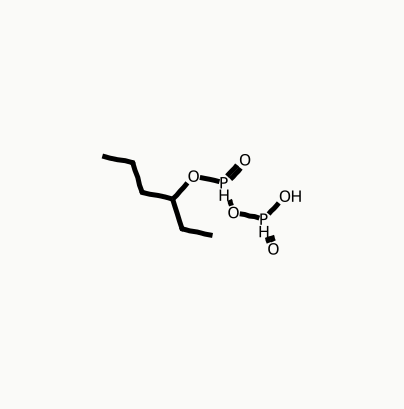 CCCC(CC)O[PH](=O)O[PH](=O)O